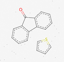 O=C1c2ccccc2-c2ccccc21.c1ccsc1